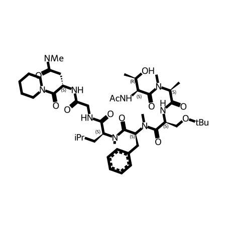 CNC(=O)C[C@H](NC(=O)CNC(=O)[C@H](CC(C)C)N(C)C(=O)[C@H](Cc1ccccc1)N(C)C(=O)[C@H](COC(C)(C)C)NC(=O)[C@H](C)N(C)C(=O)[C@@H](NC(C)=O)[C@@H](C)O)C(=O)N1CCCCC1